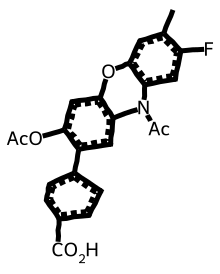 CC(=O)Oc1cc2c(cc1-c1ccc(C(=O)O)cc1)N(C(C)=O)c1cc(F)c(C)cc1O2